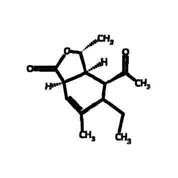 CCC1C(C)=C[C@H]2C(=O)O[C@H](C)[C@H]2[C@H]1C(C)=O